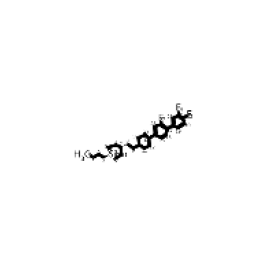 CCCC[Si@H]1CC[C@H](CCC2CCC(c3ccc(-c4ccc(F)c(F)c4)c(F)c3)CC2)CC1